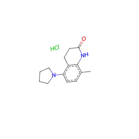 Cc1ccc(N2CCCC2)c2c1NC(=O)CC2.Cl